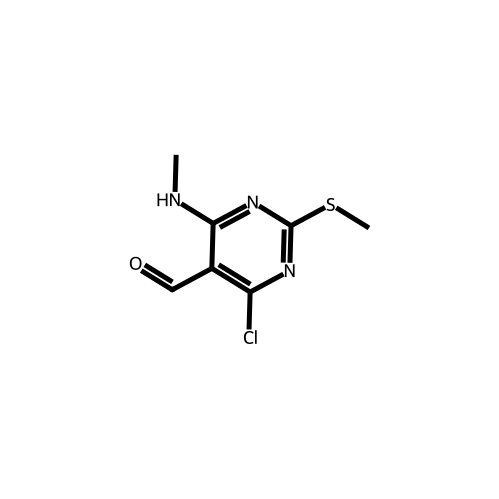 CNc1nc(SC)nc(Cl)c1C=O